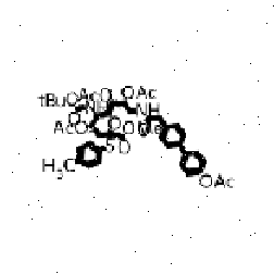 COC(=O)[C@]1(Sc2ccc(C)cc2)C[C@H](OC(C)=O)[C@@H](NC(=O)OC(C)(C)C)[C@H]([C@H](OC(C)=O)[C@@H](CNC(=O)Cc2ccc(-c3ccc(OC(C)=O)cc3)cc2)OC(C)=O)O1